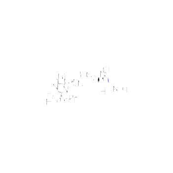 CCc1nc(C(N)=O)c(Nc2ccnc(CCNC(=O)CN(C)C(=O)/C=C/CN(C)C)c2)nc1N(C)C(C)C